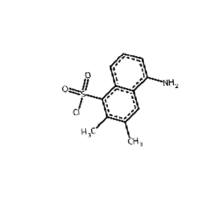 Cc1cc2c(N)cccc2c(S(=O)(=O)Cl)c1C